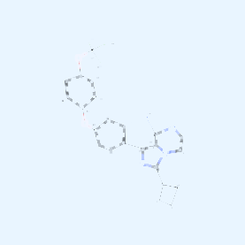 Nc1nccn2c(C3CCC3)nc(-c3ccc(Oc4ccc(OC(F)(F)F)cc4)cc3)c12